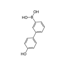 OB(O)c1cccc(-c2ccc(O)cc2)c1